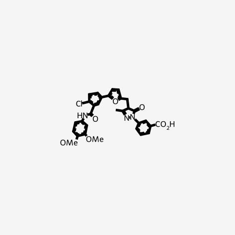 COc1ccc(NC(=O)c2cc(-c3ccc(CC4C(=O)N(c5cccc(C(=O)O)c5)N=C4C)o3)ccc2Cl)cc1OC